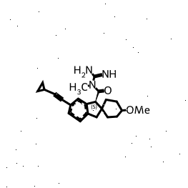 COC1CCC2(CC1)Cc1ccc(C#CC3CC3)cc1[C@H]2C(=O)N(C)C(=N)N